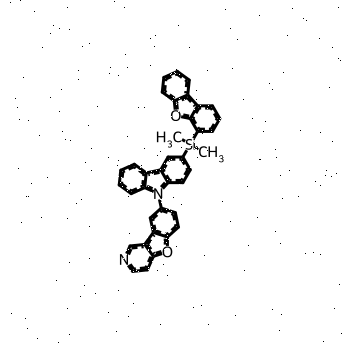 C[Si](C)(c1ccc2c(c1)c1ccccc1n2-c1ccc2oc3ccncc3c2c1)c1cccc2c1oc1ccccc12